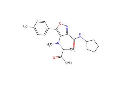 COC(=O)C(C)N(C)c1c(C(=O)NC2CCCC2)noc1-c1ccc(C(F)(F)F)cc1